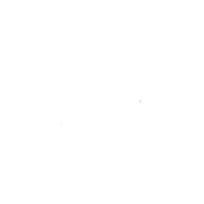 CCCC(=O)Oc1ccc(Br)cc1Cl